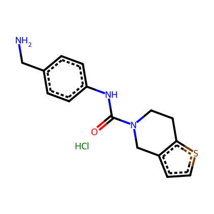 Cl.NCc1ccc(NC(=O)N2CCc3sccc3C2)cc1